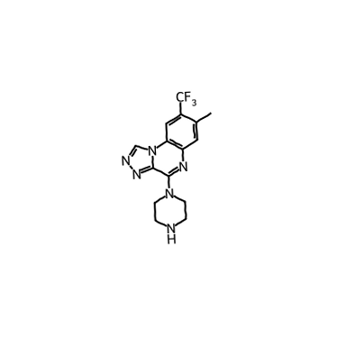 Cc1cc2nc(N3CCNCC3)c3nncn3c2cc1C(F)(F)F